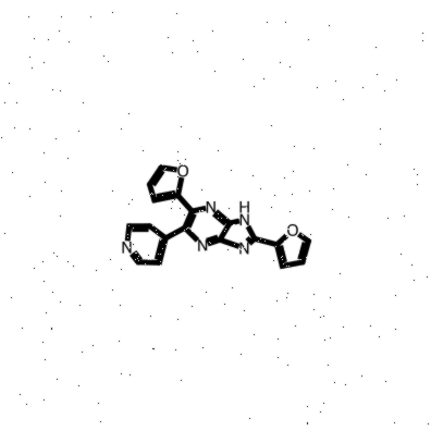 c1coc(-c2nc3nc(-c4ccncc4)c(-c4ccco4)nc3[nH]2)c1